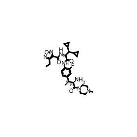 CCc1nonc1C(=O)N[C@H](C(=O)Nc1ccc([C@H](C)[C@@H](N)C(=O)N2CCN(C)CC2)cc1F)C(C1CC1)C1CC1